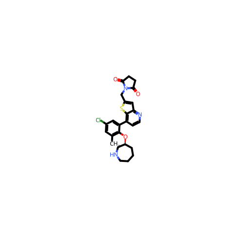 Cc1cc(Cl)cc(-c2ccnc3cc(CN4C(=O)CCC4=O)sc23)c1O[C@H]1CCCCNC1